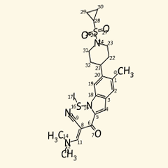 Cc1cc2cc(C(=O)/C(C#N)=C/N(C)C)n(SI)c2cc1C1CCN(S(=O)(=O)C2CC2)CC1